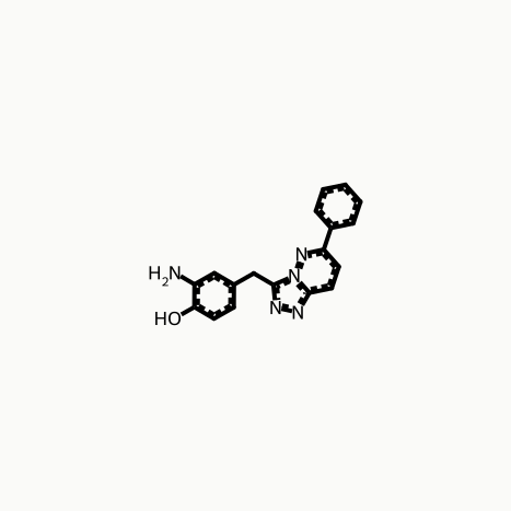 Nc1cc(Cc2nnc3ccc(-c4ccccc4)nn23)ccc1O